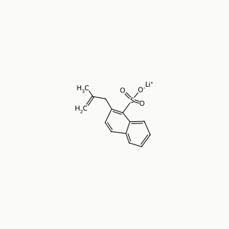 C=C(C)Cc1ccc2ccccc2c1S(=O)(=O)[O-].[Li+]